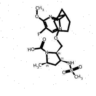 COc1nc(C23CCC(OC[C@H]4[C@@H](NS(C)(=O)=O)C[C@@H](C)N4C(=O)O)CC2C3)ncc1F